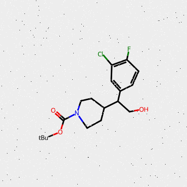 CC(C)(C)OC(=O)N1CCC(C(CO)c2ccc(F)c(Cl)c2)CC1